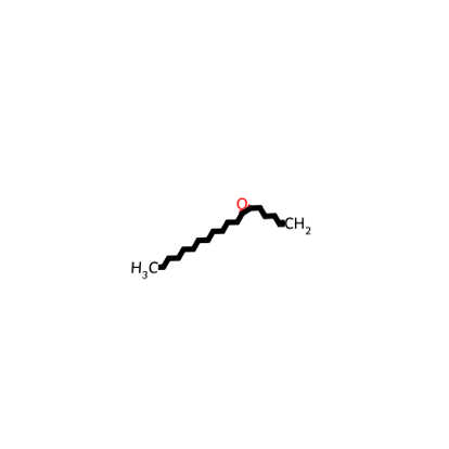 C=CCCCC1OC1CCCCCCCCCCCC